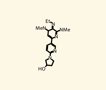 CC/N=C1/C(NC)=NC(c2ccc(N3CCC(O)C3)nc2)=CC1NC